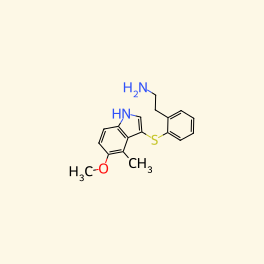 COc1ccc2[nH]cc(Sc3ccccc3CCN)c2c1C